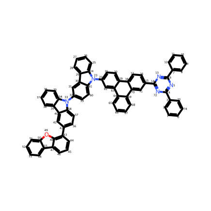 c1ccc(-c2nc(-c3ccccc3)nc(-c3ccc4c5ccc(-n6c7ccccc7c7cc(-n8c9ccccc9c9cc(-c%10cccc%11c%10oc%10ccccc%10%11)ccc98)ccc76)cc5c5ccccc5c4c3)n2)cc1